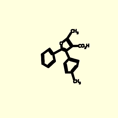 Cc1ccc(-c2c(-c3ccccc3)oc(C)c2C(=O)O)cc1